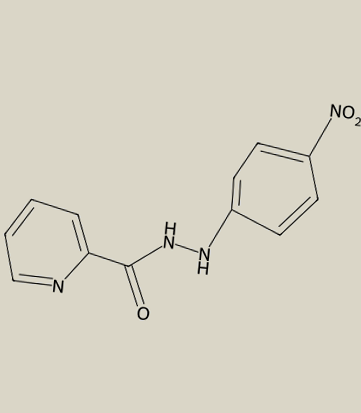 O=C(NNc1ccc([N+](=O)[O-])cc1)c1ccccn1